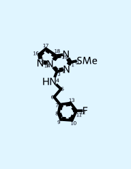 CSc1nc(NCCc2cccc(F)c2)n2nccc2n1